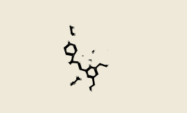 CCCOc1c(CCC)cc(CCC)c(OC(=O)C(C)(C)C)c1C=C(OC)C(=O)c1ccc(OC(=O)C(C)(C)C)cc1